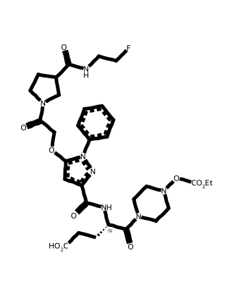 CCOC(=O)ON1CCN(C(=O)[C@H](CCC(=O)O)NC(=O)c2cc(OCC(=O)N3CCC(C(=O)NCCF)C3)n(-c3ccccc3)n2)CC1